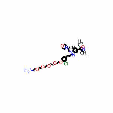 Cc1noc(C)c1-c1ccc2c(c1)nc(CCc1ccc(OCCOCCOCCOCCOCCN)c(Cl)c1)n2CC(C)N1CCOCC1